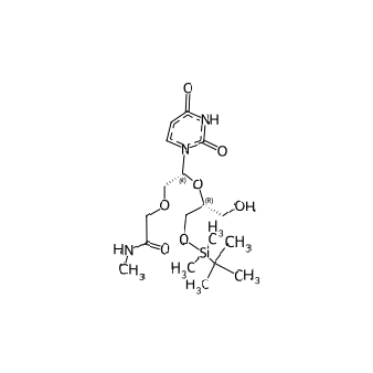 CNC(=O)COC[C@@H](O[C@H](CO)CO[Si](C)(C)C(C)(C)C)n1ccc(=O)[nH]c1=O